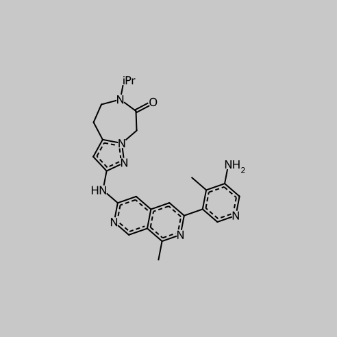 Cc1c(N)cncc1-c1cc2cc(Nc3cc4n(n3)CC(=O)N(C(C)C)CC4)ncc2c(C)n1